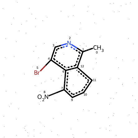 Cc1ncc(Br)c2c([N+](=O)[O-])cccc12